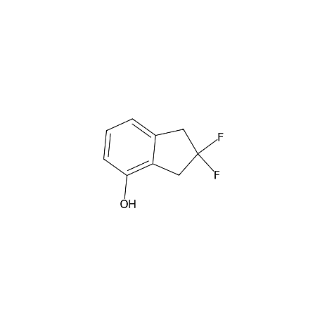 Oc1cccc2c1CC(F)(F)C2